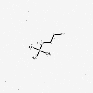 CS(C)(C)[SiH2]CCCl